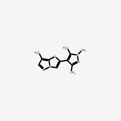 Cc1nn(C)c(C)c1-c1cn2ncc(C)c2s1